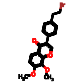 COc1ccc2c(=O)c(-c3ccc(CCBr)cc3)coc2c1OC